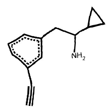 C#Cc1cccc(CC(N)C2CC2)c1